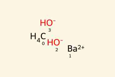 C.[Ba+2].[OH-].[OH-]